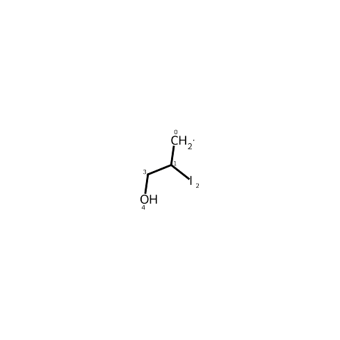 [CH2]C(I)CO